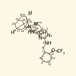 N#Cc1cnc(NCc2ccccc2OC(F)(F)F)nc1NCC12CC3C[C@H](C1)C(N1CC(O)C1)[C@@H](C3)C2